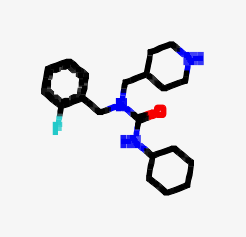 O=C(NC1CCCCC1)N(Cc1ccccc1F)CC1CCNCC1